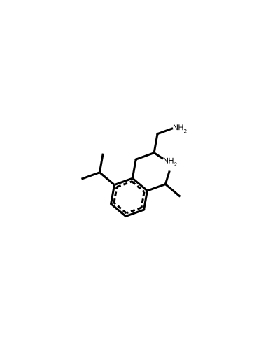 CC(C)c1cccc(C(C)C)c1CC(N)CN